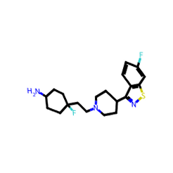 NC1CCC(F)(CCN2CCC(c3nsc4cc(F)ccc34)CC2)CC1